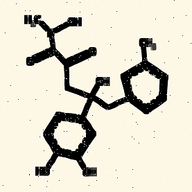 Cc1cccc(CC(O)(CC(=O)C(=O)N(C)O)c2ccc(O)c(O)c2)c1